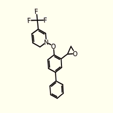 FC(F)(F)C1=CN(Oc2ccc(-c3ccccc3)cc2C2CO2)CC=C1